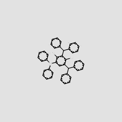 Nc1c(C(c2ccccc2)c2ccccc2)cc(N(c2ccccc2)c2ccccc2)c(N)c1C(c1ccccc1)c1ccccc1